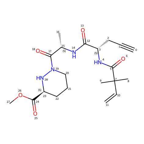 C#CC[C@H](NC(=O)C(C)(C)C=C)C(=O)N[C@@H](C)C(=O)N1CCC[C@@H](C(=O)OC)N1